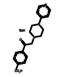 O=C(O)c1ccc(C(=O)CN2CCN(c3ccncc3)CC2)cc1.[NaH]